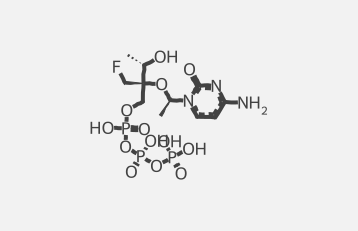 C[C@H](O)[C@@](CF)(COP(=O)(O)OP(=O)(O)OP(=O)(O)O)O[C@H](C)n1ccc(N)nc1=O